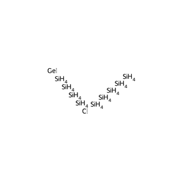 [C].[Ge].[SiH4].[SiH4].[SiH4].[SiH4].[SiH4].[SiH4].[SiH4].[SiH4].[SiH4]